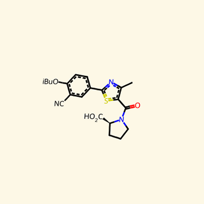 Cc1nc(-c2ccc(OCC(C)C)c(C#N)c2)sc1C(=O)N1CCC[C@H]1C(=O)O